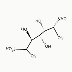 O=C[C@H](O)[C@@H](O)[C@H](O)[C@H](O)C(O)S(=O)(=O)O